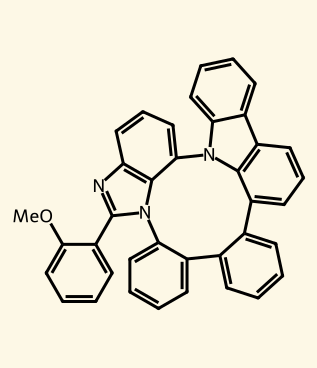 COc1ccccc1-c1nc2cccc3c2n1c1ccccc1c1ccccc1c1cccc2c4ccccc4n3c12